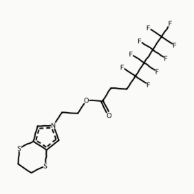 O=C(CCC(F)(F)C(F)(F)C(F)(F)C(F)(F)F)OCCn1cc2c(c1)SCCS2